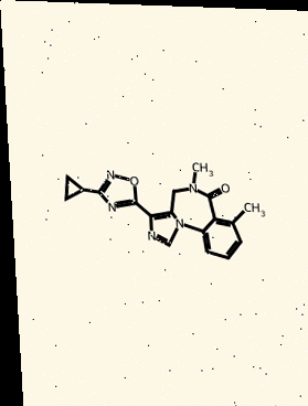 Cc1cccc2c1C(=O)N(C)Cc1c(-c3nc(C4CC4)no3)ncn1-2